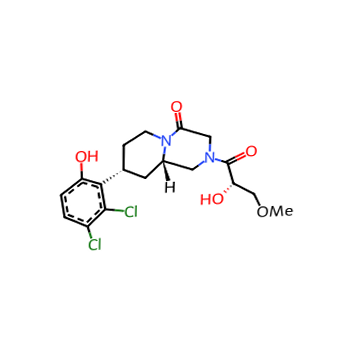 COC[C@H](O)C(=O)N1CC(=O)N2CC[C@@H](c3c(O)ccc(Cl)c3Cl)C[C@H]2C1